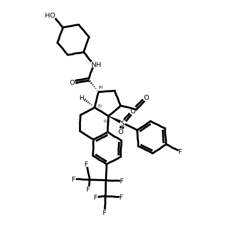 O=CC1C[C@@H](C(=O)NC2CCC(O)CC2)[C@@H]2CCc3cc(C(F)(C(F)(F)F)C(F)(F)F)ccc3[C@@]12S(=O)(=O)c1ccc(F)cc1